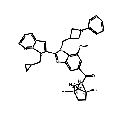 COc1cc(C(=O)N2C[C@H]3CC[C@@H]2[C@@H]3N)cc2nc(-c3cc4cccnc4n3CC3CC3)n(CC3CN(c4ccccc4)C3)c12